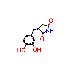 O=C1CC(=Cc2ccc(O)c(O)c2)C(=O)N1